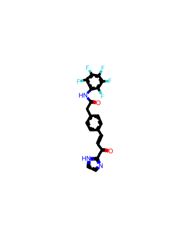 O=C(Cc1ccc(/C=C/C(=O)c2ncc[nH]2)cc1)Nc1c(F)c(F)c(F)c(F)c1F